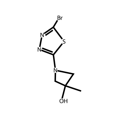 CC1(O)CN(c2nnc(Br)s2)C1